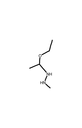 CCOC(C)NNC